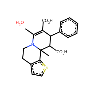 CC1=C(C(=O)O)C(c2ccccc2)C(C(=O)O)C2(C)c3sccc3CCN12.O